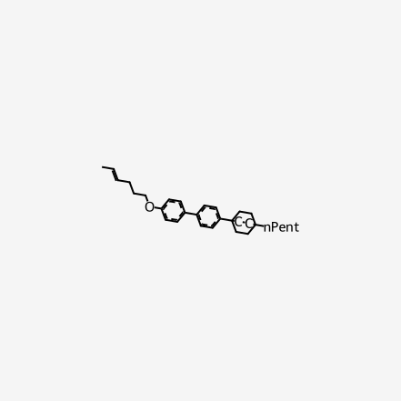 C/C=C/CCCOc1ccc(-c2ccc(C34CCC(CCCCC)(CC3)CC4)cc2)cc1